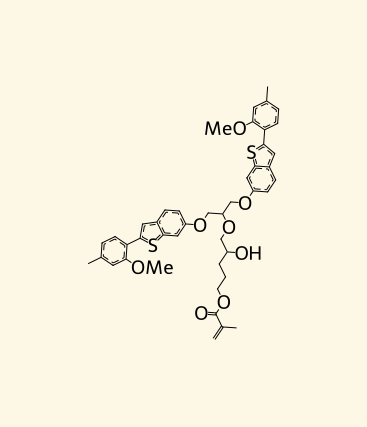 C=C(C)C(=O)OCCCC(O)COC(COc1ccc2cc(-c3ccc(C)cc3OC)sc2c1)COc1ccc2cc(-c3ccc(C)cc3OC)sc2c1